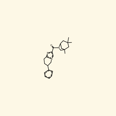 CC1(C)CC2CC(C)(CN2C(=O)c2cn3c(n2)CCC(c2ccccc2)C3)C1